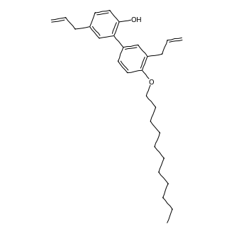 C=CCc1ccc(O)c(-c2ccc(OCCCCCCCCCCC)c(CC=C)c2)c1